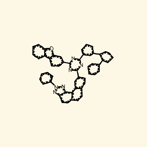 c1ccc(-c2ccccc2-c2cccc(-c3nc(-c4ccc5c(c4)oc4ccccc45)nc(-c4ccc5ccc6ccc7nn(-c8ccccc8)nc7c6c5c4)n3)c2)cc1